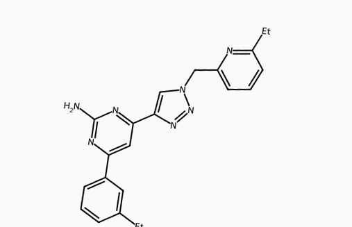 CCc1cccc(-c2cc(-c3cn(Cc4cccc(CC)n4)nn3)nc(N)n2)c1